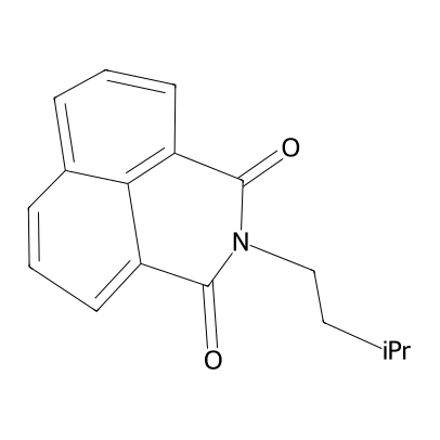 CC(C)CCN1C(=O)c2cccc3cccc(c23)C1=O